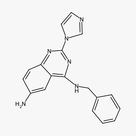 Nc1ccc2nc(-n3ccnc3)nc(NCc3ccccc3)c2c1